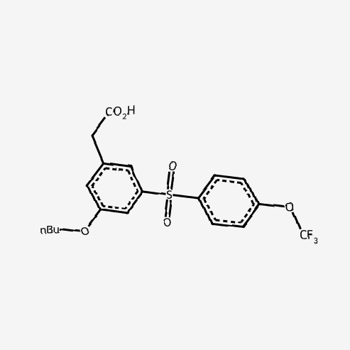 CCCCOc1cc(CC(=O)O)cc(S(=O)(=O)c2ccc(OC(F)(F)F)cc2)c1